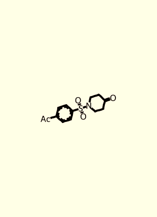 CC(=O)c1ccc(S(=O)(=O)N2CCC(=O)CC2)cc1